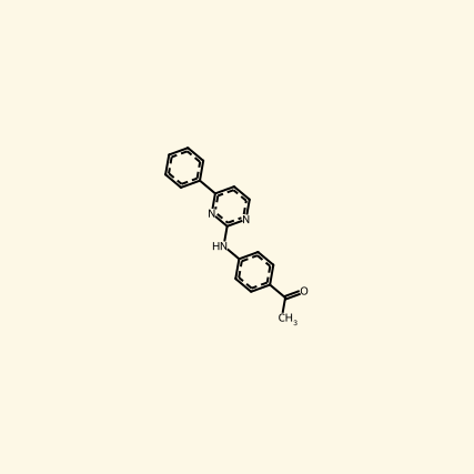 CC(=O)c1ccc(Nc2nccc(-c3ccccc3)n2)cc1